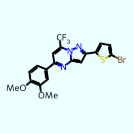 COc1ccc(-c2cc(C(F)(F)F)n3nc(-c4ccc(Br)s4)cc3n2)cc1OC